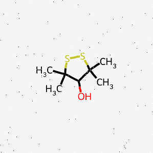 CC1(C)SSC(C)(C)C1O